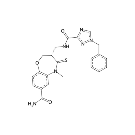 CN1C(=S)[C@@H](CNC(=O)c2ncn(Cc3ccccc3)n2)COc2ccc(C(N)=O)cc21